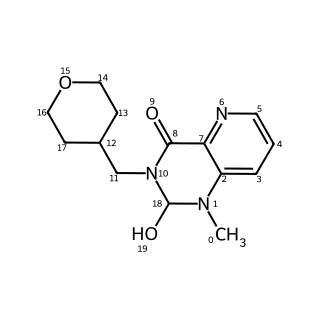 CN1c2cccnc2C(=O)N(CC2CCOCC2)C1O